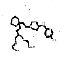 COCOCC(CCC1(CCN2CCC(Nc3ccc(C)cn3)CC2)CCCCC1)COCOC